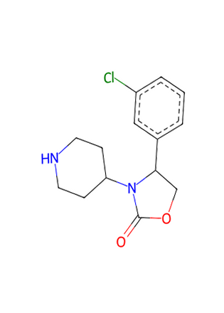 O=C1OCC(c2cccc(Cl)c2)N1C1CCNCC1